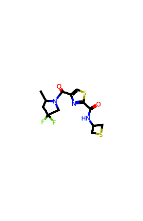 CC1CC(F)(F)CN1C(=O)c1csc(C(=O)NC2CSC2)n1